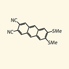 CSc1cc2cc3cc(C#N)c(C#N)cc3cc2cc1SC